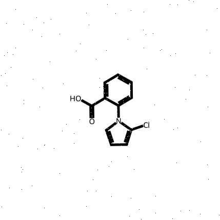 O=C(O)c1ccccc1-n1cccc1Cl